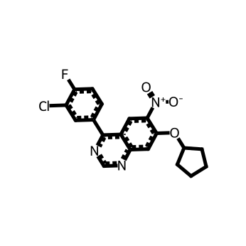 O=[N+]([O-])c1cc2c(-c3ccc(F)c(Cl)c3)ncnc2cc1OC1CCCC1